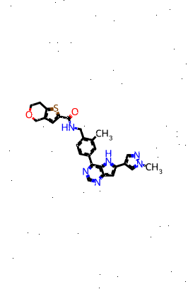 Cc1cc(-c2ncnc3cc(-c4cnn(C)c4)[nH]c23)ccc1CNC(=O)c1cc2c(s1)CCOC2